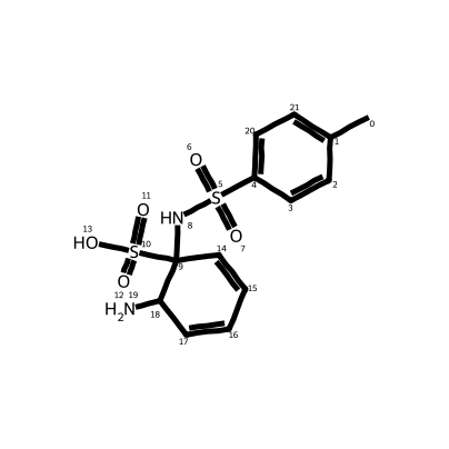 Cc1ccc(S(=O)(=O)NC2(S(=O)(=O)O)C=CC=CC2N)cc1